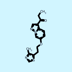 CCC(=O)c1cnn2cc(OCCc3scnc3C)ccc12